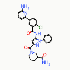 NC(=O)[C@H]1CCCN(C(=O)c2cc(NC(=O)c3cc(-c4cccc(N)n4)ccc3Cl)n(-c3ccccc3)n2)C1